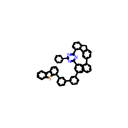 c1ccc(-c2ccc3c(c2)-c2c(cccc2-c2nc(-c4ccccc4)nc(-c4cccc(-c5cccc(-c6cccc(-c7cccc8c7sc7ccccc78)c6)c5)c4)n2)C3)cc1